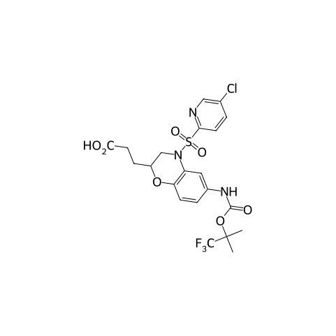 CC(C)(OC(=O)Nc1ccc2c(c1)N(S(=O)(=O)c1ccc(Cl)cn1)CC(CCC(=O)O)O2)C(F)(F)F